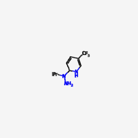 CC(C)N(N)C1C=CC(C(F)(F)F)=CN1